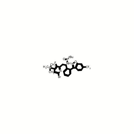 CC(C)(C)[S@+]([O-])NC(Cc1nc(Br)cc([Si](C)(C)C)c1F)c1ccccc1-c1noc2cc(C(F)(F)F)ccc12